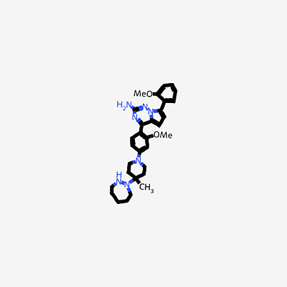 COc1cc(N2CCC(C)(N3CCCCCN3)CC2)ccc1-c1nc(N)nn2c(-c3ccccc3OC)ccc12